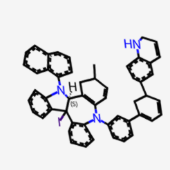 CC1C=CC2=C(C1)[C@@H]1N(c3cccc4ccccc34)c3ccccc3C1(I)c1ccccc1N2c1cccc(C2=CC=CC(c3ccc4c(c3)C=CCN4)C2)c1